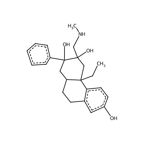 CCC12CC(O)(CNC)C(O)(c3ccccc3)CC1CCc1cc(O)ccc12